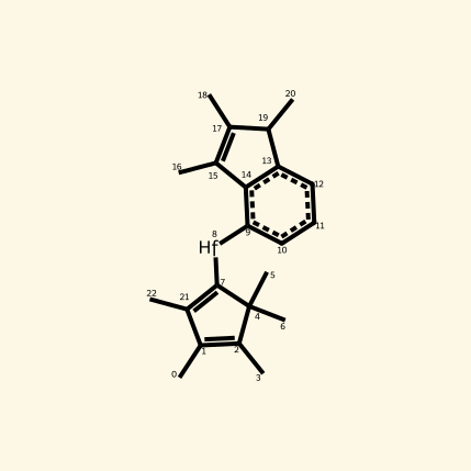 CC1=C(C)C(C)(C)[C]([Hf][c]2cccc3c2C(C)=C(C)C3C)=C1C